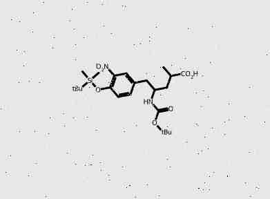 CC(CC(Cc1ccc(O[Si](C)(C)C(C)(C)C)c([N+](=O)[O-])c1)NC(=O)OC(C)(C)C)C(=O)O